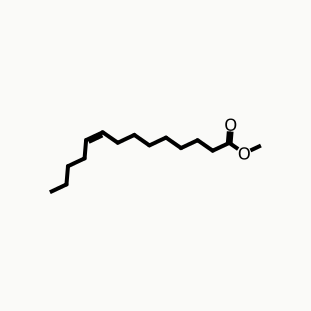 CCCC/C=C\CCCCCCCC(=O)OC